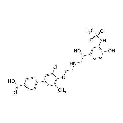 Cc1cc(-c2ccc(C(=O)O)cc2)cc(Cl)c1OCCNC[C@H](O)c1ccc(O)c(NS(C)(=O)=O)c1